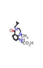 CN1CCN(CC2CC2)C(=O)c2cccc(NCC(=O)O)c21